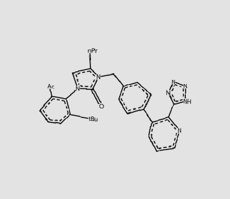 CCCc1cn(-c2c(C(C)=O)cccc2C(C)(C)C)c(=O)n1Cc1ccc(-c2cccnc2-c2nnn[nH]2)cc1